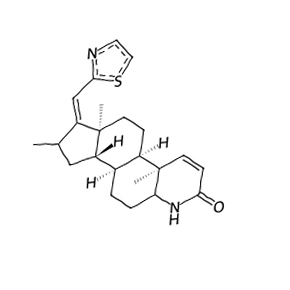 CC1C[C@H]2[C@@H]3CCC4NC(=O)C=C[C@]4(C)[C@@H]3CC[C@]2(C)C1=Cc1nccs1